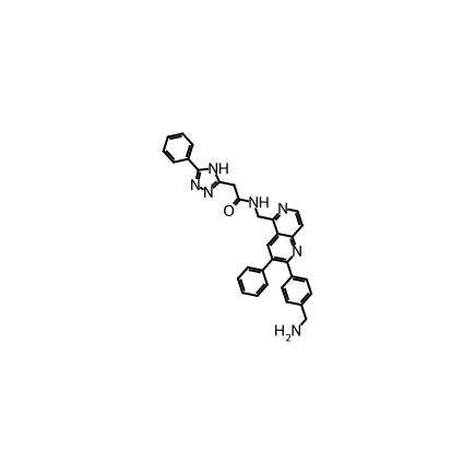 NCc1ccc(-c2nc3ccnc(CNC(=O)Cc4nnc(-c5ccccc5)[nH]4)c3cc2-c2ccccc2)cc1